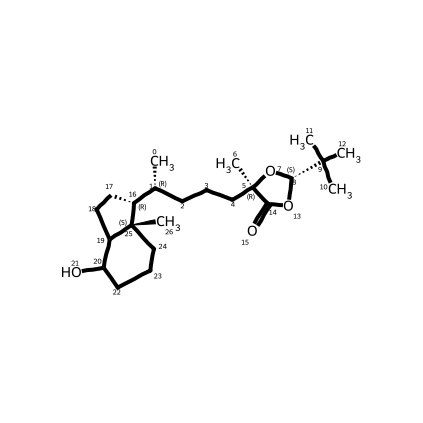 C[C@H](CCC[C@@]1(C)O[C@H](C(C)(C)C)OC1=O)[C@H]1CCC2C(O)CCC[C@]21C